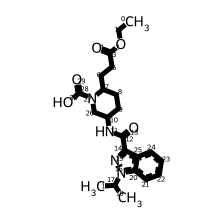 CCOC(=O)CCC1CCC(NC(=O)c2nn(C(C)C)c3ccccc23)CN1C(=O)O